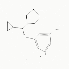 COc1cc(Cl)cc(O[C@@H](C2CC2)[C@H]2CCNC2)c1